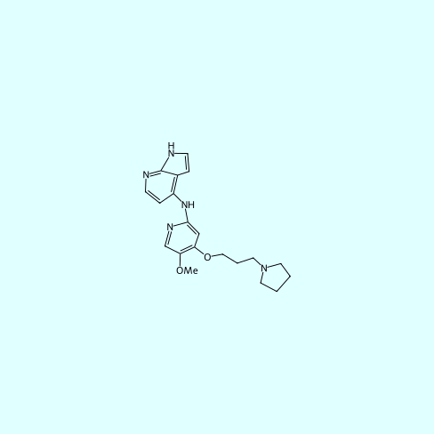 COc1cnc(Nc2ccnc3[nH]ccc23)cc1OCCCN1CCCC1